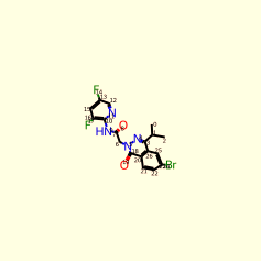 CC(C)c1nn(CC(=O)Nc2ncc(F)cc2F)c(=O)c2ccc(Br)cc12